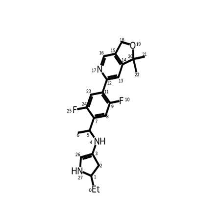 CCC1CC(NC(C)c2cc(F)c(-c3cc4c(cn3)COC4(C)C)cc2F)=CN1